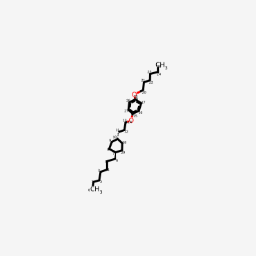 CCCCCCC[C@H]1CC[C@H](CCCOc2ccc(OCCCCCC)cc2)CC1